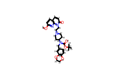 COc1ccc2ccc(=O)n(CCN3CCC(N(Cc4ccc5c(c4)OCCO5)C(=O)OC(C)(C)C)CC3)c2n1